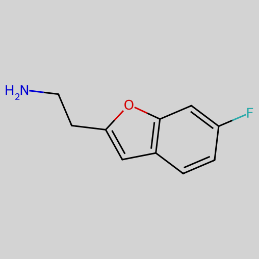 NCCc1cc2ccc(F)cc2o1